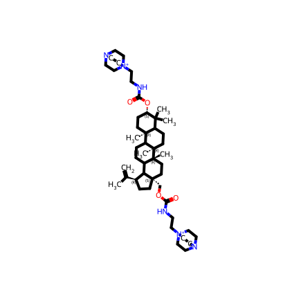 C=C(C)[C@@H]1CC[C@]2(COC(=O)NCC[N+]34CCN(CC3)CC4)CC[C@]3(C)C(CCC4[C@@]5(C)CC[C@H](OC(=O)NCC[N+]67CCN(CC6)CC7)C(C)(C)C5CC[C@]43C)C12